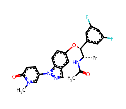 CC(C)[C@H](NC(=O)C(F)(F)F)[C@H](Oc1ccc2c(cnn2-c2ccc(=O)n(C)c2)c1)c1cc(F)cc(F)c1